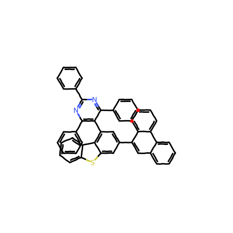 c1ccc(-c2nc(-c3ccccc3)c(-c3cc(-c4cc5ccccc5c5ccccc45)cc4sc5ccccc5c34)c(-c3ccccc3)n2)cc1